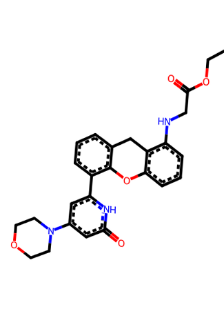 CCOC(=O)CNc1cccc2c1Cc1cccc(-c3cc(N4CCOCC4)cc(=O)[nH]3)c1O2